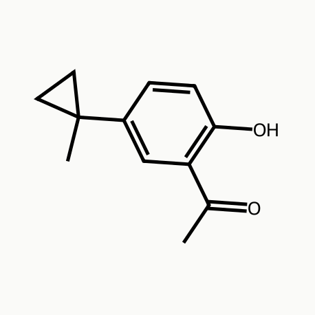 CC(=O)c1cc(C2(C)CC2)ccc1O